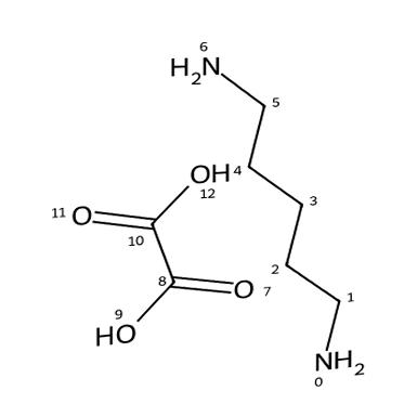 NCCCCCN.O=C(O)C(=O)O